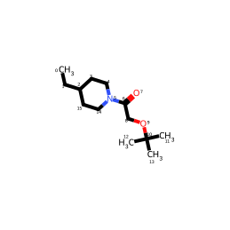 CCC1CCN(C(=O)COC(C)(C)C)CC1